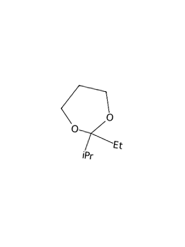 CCC1(C(C)C)OCCCO1